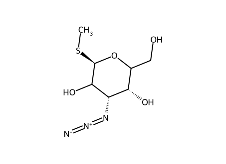 CS[C@H]1OC(CO)[C@H](O)[C@H](N=[N+]=[N-])C1O